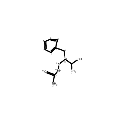 CC(O)[C@H](Cc1ccccc1)SNC(N)=O